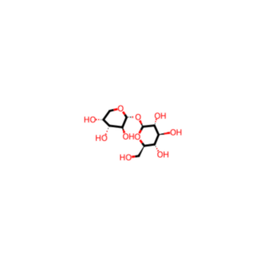 OC[C@H]1O[C@@H](O[C@H]2OC[C@@H](O)[C@@H](O)[C@@H]2O)[C@H](O)[C@@H](O)[C@@H]1O